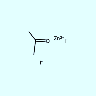 CC(C)=O.[I-].[I-].[Zn+2]